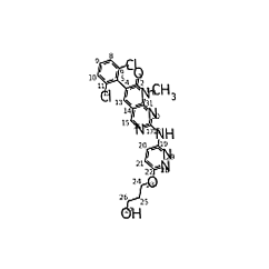 Cn1c(=O)c(-c2c(Cl)cccc2Cl)cc2cnc(Nc3ccc(OCCCO)nn3)nc21